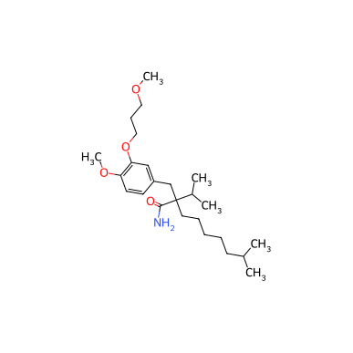 COCCCOc1cc(CC(CCCCCC(C)C)(C(N)=O)C(C)C)ccc1OC